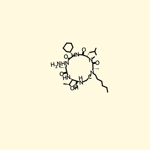 CCCCCCN1CCNC(=O)[C@H]([C@H](C)O)NC(=O)[C@H](CN)NC(=O)[C@H](C2CCCCC2)NC(=O)[C@H](CC(C)C)N(C)C(=O)[C@@H]1C